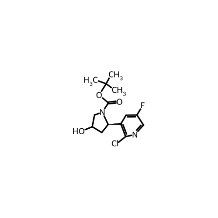 CC(C)(C)OC(=O)N1CC(O)C[C@@H]1c1cc(F)cnc1Cl